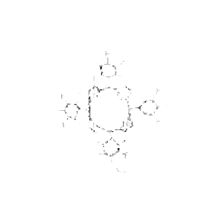 Fc1c(F)c(F)c(-c2c3nc(c(-c4c(F)c(F)c(F)c(F)c4F)c4ccc([nH]4)c(-c4c(F)c(F)c(F)c(F)c4F)c4nc(c(-c5c(F)c(F)c(F)c(F)c5F)c5ccc2[nH]5)C=C4)C=C3)c(F)c1F.[Cu]